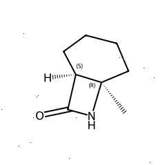 C[C@@]12CCCC[C@@H]1C(=O)N2